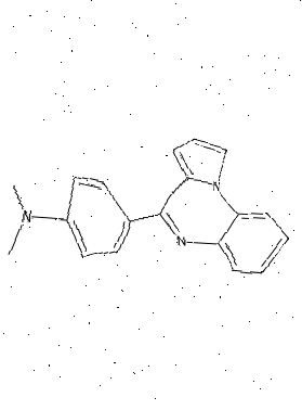 CN(C)c1ccc(-c2nc3ccccc3n3cccc23)cc1